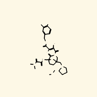 COC[C@H]1CCCN1CC12CCC(NC(=O)C(=O)N(C)C)(CC1)c1nc(C(=O)NCc3ccc(F)c(C)c3)c(O)c(=O)n1C2